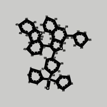 O=P(c1ccccc1)(c1ccccc1)c1ccc(-c2oc3c(-c4ccccc4)nc4ccccc4c3c2-c2cccc3c2oc2ccccc23)cc1